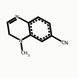 CN1CC=Nc2ccc(C#N)cc21